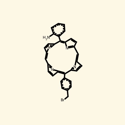 Nc1ccccc1C1=C2C=CC(=N2)C=C2C=CC(=N2)C(c2ccc(CBr)cc2)=C2C=CC(=N2)C=C2C=CC1=N2